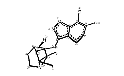 CC1(C)[C@@H](Nc2noc3c(Cl)c(Cl)ccc23)C2CCN1CC2